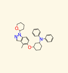 Cc1c(OC2CCCC(N(c3ccccc3)c3ccccc3)C2)ccc2c1cnn2C1CCCCO1